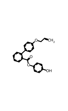 C=CCOc1ccc(-c2ccccc2C(=O)Oc2ccc(O)cc2)cc1